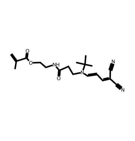 C=C(C)C(=O)OCCNC(=O)CCN(C=CC=C(C#N)C#N)C(C)(C)C